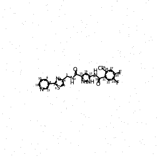 O=C(NCc1csc(-c2cccnc2)n1)c1cc(NC(=O)c2cc(F)c(F)cc2Cl)[nH]n1